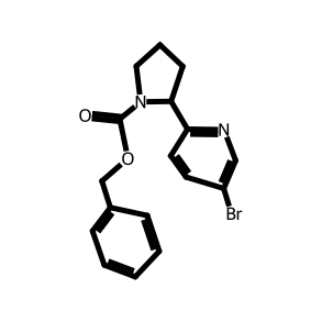 O=C(OCc1ccccc1)N1CCCC1c1ccc(Br)cn1